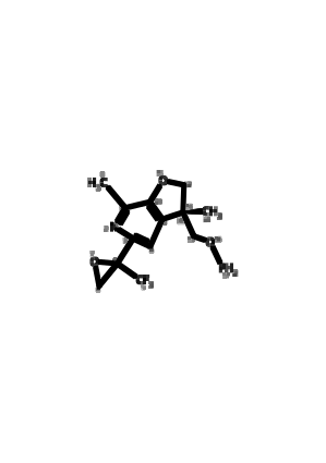 Cc1nc(C2(C(F)(F)F)CO2)cc2c1OC[C@]2(C)COP